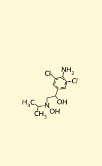 CC(C)N(O)CC(O)c1cc(Cl)c(N)c(Cl)c1